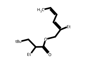 C/C=C\C=C(/CC)COC(=O)C(CC)CC(C)(C)C